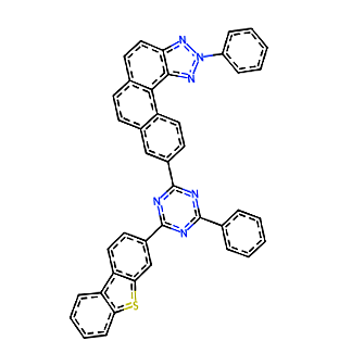 c1ccc(-c2nc(-c3ccc4c(ccc5ccc6nn(-c7ccccc7)nc6c54)c3)nc(-c3ccc4c(c3)sc3ccccc34)n2)cc1